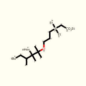 CCCCCCC(C)(C(C)CC(C)(C)C)C(C)(C)OCCC[Si](CC)(CC)CC(=O)OCC